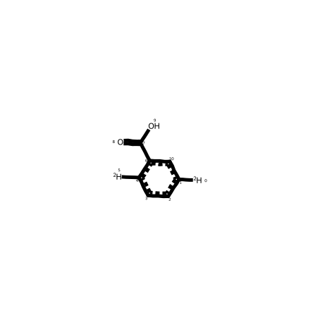 [2H]c1ccc([2H])c(C(=O)O)c1